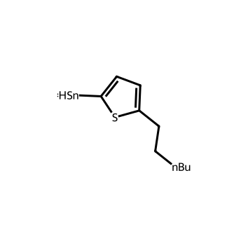 CCCCCCc1cc[c]([SnH])s1